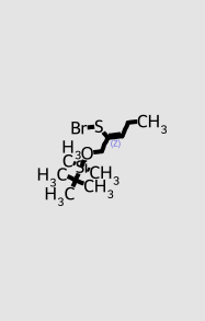 CC/C=C(/CO[Si](C)(C)C(C)(C)C)SBr